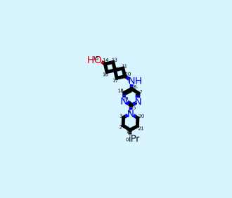 CC(C)C1CCN(c2ncc(NC3CC4(CC(O)C4)C3)cn2)CC1